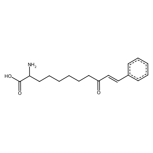 NC(CCCCCCC(=O)C=Cc1ccccc1)C(=O)O